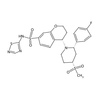 CS(=O)(=O)[C@@H]1CCN([C@H]2CCOc3cc(S(=O)(=O)Nc4ncns4)ccc32)[C@H](c2ccc(F)cc2)C1